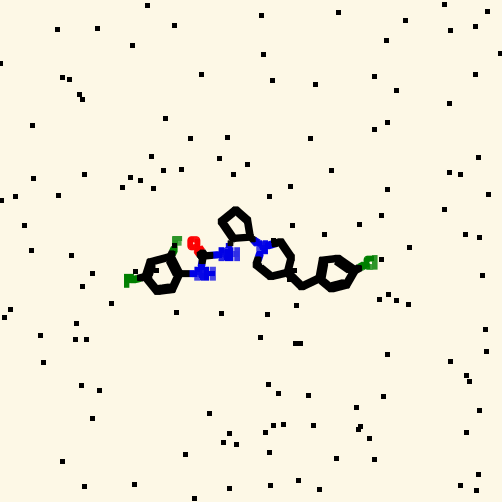 O=C(Nc1ccc(F)cc1F)N[C@@H]1CCC[C@H]1N1CCC(Cc2ccc(Cl)cc2)CC1